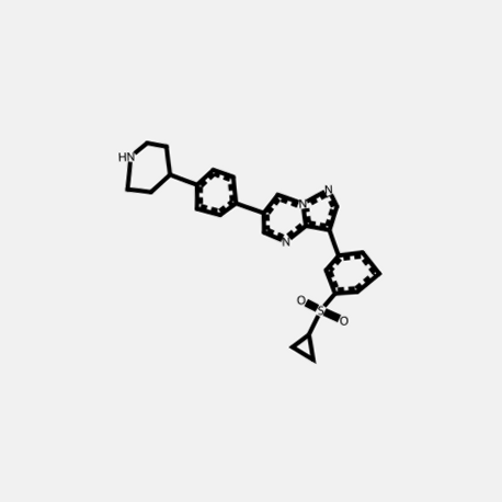 O=S(=O)(c1cccc(-c2cnn3cc(-c4ccc(C5CCNCC5)cc4)cnc23)c1)C1CC1